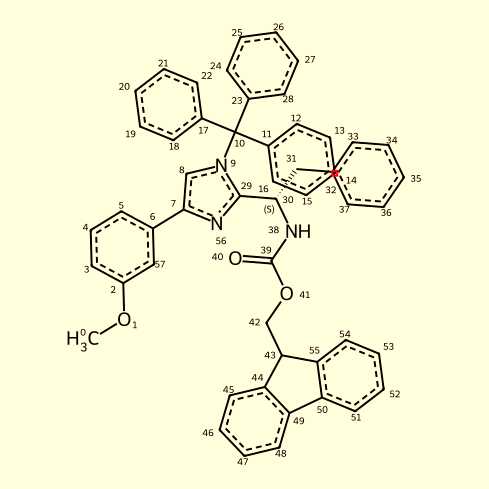 COc1cccc(-c2cn(C(c3ccccc3)(c3ccccc3)c3ccccc3)c([C@H](Cc3ccccc3)NC(=O)OCC3c4ccccc4-c4ccccc43)n2)c1